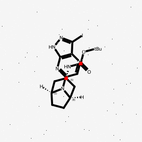 CC(C)(C)OC(=O)N[C@@H]1C[C@H]2CC[C@@H](C1)N2c1cnc2c(I)n[nH]c2n1